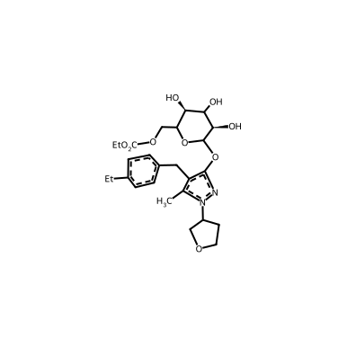 CCOC(=O)OCC1OC(Oc2nn(C3CCOC3)c(C)c2Cc2ccc(CC)cc2)[C@H](O)C(O)[C@@H]1O